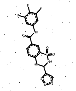 O=C(Nc1cc(F)c(F)c(F)c1)c1ccc2c(c1)S(=O)(=O)NC(c1cnns1)N2